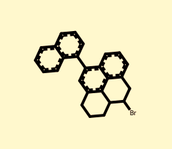 BrC1Cc2cccc3c(-c4cccc5ccccc45)cc4c(c23)C1CCC4